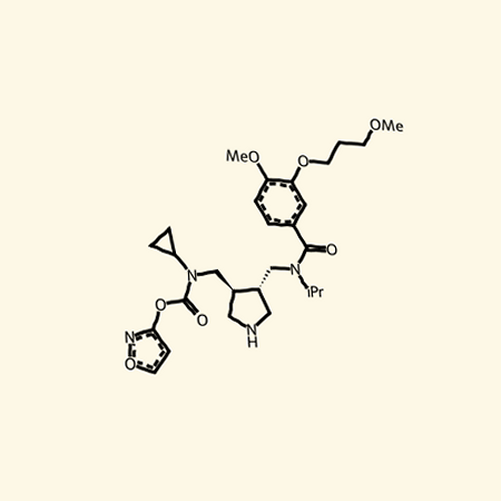 COCCCOc1cc(C(=O)N(C[C@@H]2CNC[C@H]2CN(C(=O)Oc2ccon2)C2CC2)C(C)C)ccc1OC